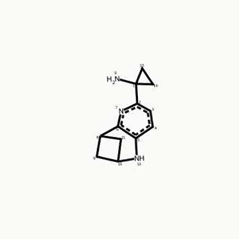 NC1(c2ccc3c(n2)C2CC(C2)N3)CC1